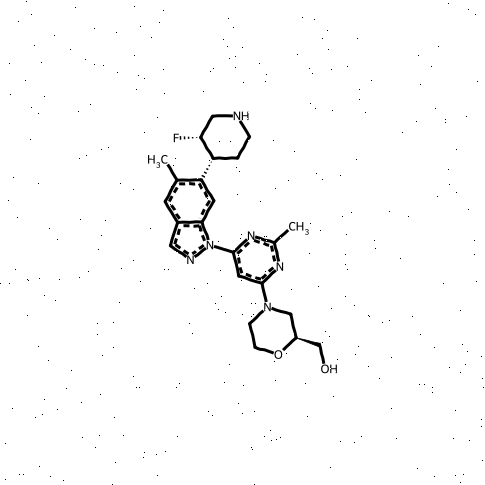 Cc1nc(N2CCO[C@H](CO)C2)cc(-n2ncc3cc(C)c([C@H]4CCNC[C@H]4F)cc32)n1